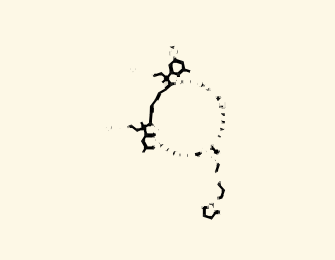 COCCC1(C)C2=Nc3c1cc(Cl)c[n+]3CCOCCC(=O)NC(C(=O)NCCOCCC(=O)ON1C(=O)CCC1=O)CCOCCNC(=O)CCOCCN1/C(=C/C=C/C=C/2)C(C)(CCOC)c2cc(S(=O)(=O)[O-])cc(C)c21